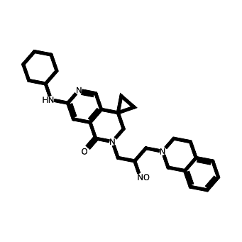 O=NC(CN1CCc2ccccc2C1)CN1CC2(CC2)c2cnc(NC3CCCCC3)cc2C1=O